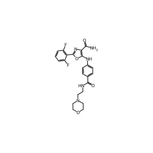 NC(=O)c1nc(-c2c(F)cccc2F)oc1Nc1ccc(C(=O)NCCN2CCOCC2)cc1